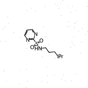 CC(C)CCCNS(=O)(=O)c1ncccn1